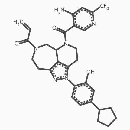 C=CC(=O)N1CCc2nn(-c3ccc(C4CCCC4)cc3O)c3c2C(C1)N(C(=O)c1cnc(C(F)(F)F)cc1N)CC3